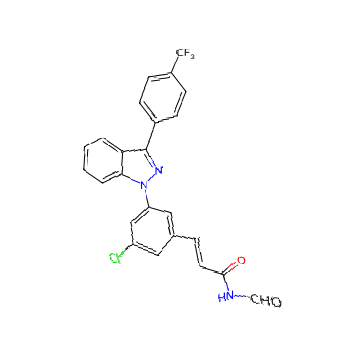 O=CNC(=O)C=Cc1cc(Cl)cc(-n2nc(-c3ccc(C(F)(F)F)cc3)c3ccccc32)c1